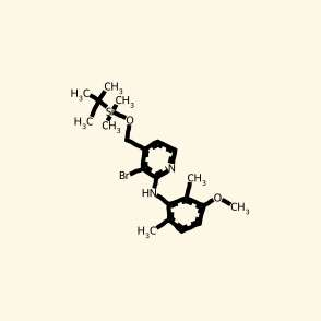 COc1ccc(C)c(Nc2nccc(CO[Si](C)(C)C(C)(C)C)c2Br)c1C